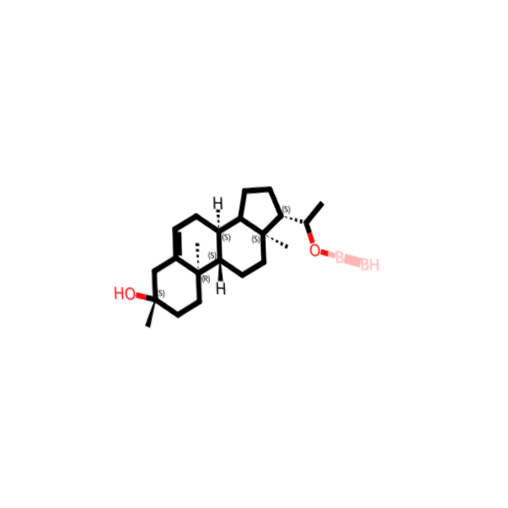 B=BOC(C)[C@H]1CCC2[C@@H]3CC=C4C[C@@](C)(O)CC[C@]4(C)[C@H]3CC[C@@]21C